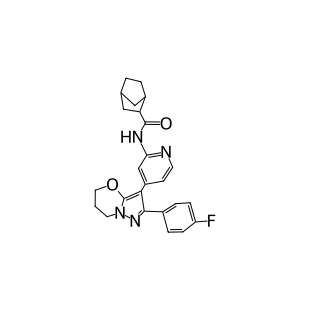 O=C(Nc1cc(-c2c(-c3ccc(F)cc3)nn3c2OCCC3)ccn1)C1CC2CCC1C2